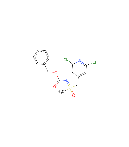 CS(=O)(CC1=CC(Cl)=NC(Cl)C1)=NC(=O)OCc1ccccc1